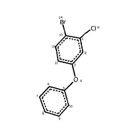 Clc1cc(Oc2cc[c]cc2)ccc1Br